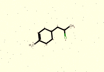 CC1=CCC(CC(C)Cl)CC1